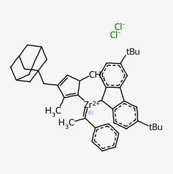 CC1=[C](/[Zr+2](=[C](\C)c2ccccc2)[CH]2c3ccc(C(C)(C)C)cc3-c3cc(C(C)(C)C)ccc32)C(C)C=C1CC12CC3CC(CC(C3)C1)C2.[Cl-].[Cl-]